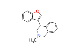 CN1Cc2ccccc2C(c2coc3ccccc23)C1